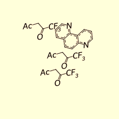 CC(=O)CC(=O)C(F)(F)F.CC(=O)CC(=O)C(F)(F)F.CC(=O)CC(=O)C(F)(F)F.c1cnc2c(c1)ccc1ncccc12